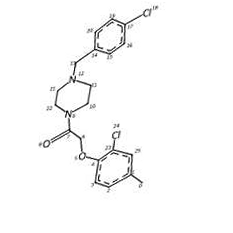 Cc1ccc(OCC(=O)N2CCN(Cc3ccc(Cl)cc3)CC2)c(Cl)c1